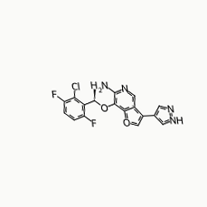 C[C@@H](Oc1c(N)ncc2c(-c3cn[nH]c3)coc12)c1c(F)ccc(F)c1Cl